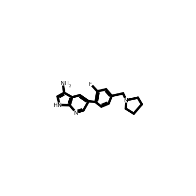 Nc1c[nH]c2ncc(-c3ccc(CN4CCCC4)cc3F)cc12